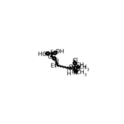 CCN(CCCCCCCCNC(=O)C[C@@H]1N=C(c2ccc(Cl)cc2)c2c(sc(C)c2C)-n2c(C)nnc21)CCOc1ccc(C(=O)c2c(-c3ccc(O)cc3)sc3cc(O)ccc23)cc1